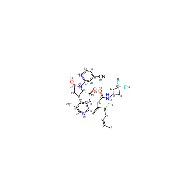 C=C(/C(Cl)=C\C=C/C)[C@@H](C(=O)NC1CC(F)(F)C1)N(C(=O)[C@@H]1CCC(=O)N1c1cc(C#N)ccn1)c1cncc(F)c1